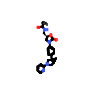 CC(=O)NC[C@H]1CN(c2ccc(C34CC3CN(c3ccccn3)C4)cc2)C(=O)O1